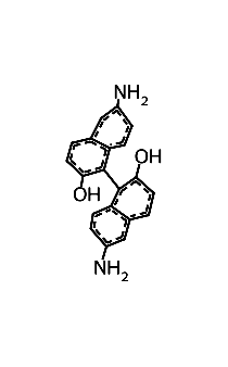 Nc1ccc2c(-c3c(O)ccc4cc(N)ccc34)c(O)ccc2c1